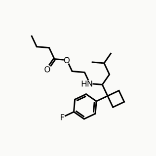 CCCC(=O)OCCNC(CC(C)C)C1(c2ccc(F)cc2)CCC1